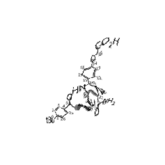 CC(C)(C)c1ccc(C(=O)Nc2[nH]c(-c3ccc(OCC(=O)O)cc3)nc2C(N)=O)cc1